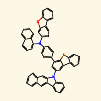 c1ccc2cc3c(cc2c1)c1ccccc1n3-c1cc(-c2ccc(N(c3ccc4c(c3)oc3ccccc34)c3cccc4ccccc34)cc2)c2sc3ccccc3c2c1